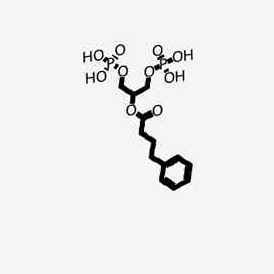 O=C(CCCc1ccccc1)OC(COP(=O)(O)O)COP(=O)(O)O